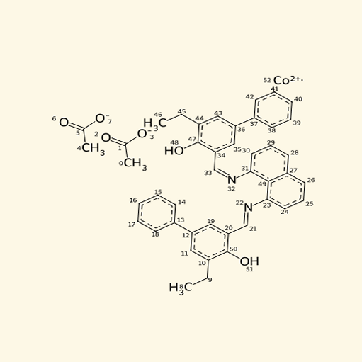 CC(=O)[O-].CC(=O)[O-].CCc1cc(-c2ccccc2)cc(C=Nc2cccc3cccc(N=Cc4cc(-c5ccccc5)cc(CC)c4O)c23)c1O.[Co+2]